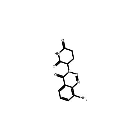 Nc1cccc2c(=O)n(C3CCC(=O)NC3=O)nnc12